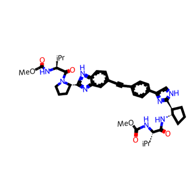 COC(=O)N[C@H](C(=O)N[C@H]1CCC[C@@H]1c1nc(-c2ccc(C#Cc3ccc4[nH]c([C@@H]5CCCN5C(=O)[C@@H](NC(=O)OC)C(C)C)nc4c3)cc2)c[nH]1)C(C)C